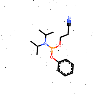 CC(C)N(C(C)C)P(OCCC#N)Oc1ccccc1